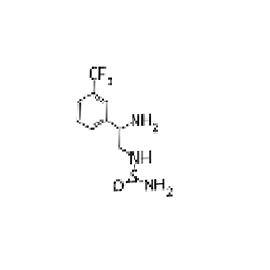 NC(CN[S+](N)[O-])c1cccc(C(F)(F)F)c1